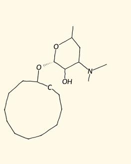 CC1CC(N(C)C)C(O)[C@H](OC2CCCCCCCCCCC2)O1